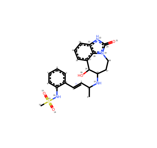 CC(/C=C/c1ccccc1NS(C)(=O)=O)NC1CCn2c(=O)[nH]c3cccc(c32)C1O